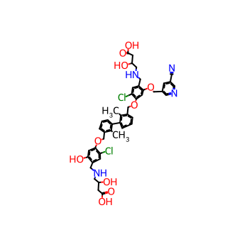 Cc1c(COc2cc(O)c(CNCC(O)CC(=O)O)cc2Cl)cccc1-c1cccc(COc2cc(OCc3cncc(C#N)c3)c(CNCC(O)CC(=O)O)cc2Cl)c1C